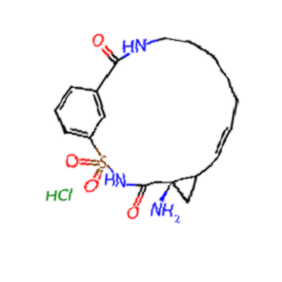 Cl.N[C@]12CC1/C=C\CCCCCNC(=O)c1cccc(c1)S(=O)(=O)NC2=O